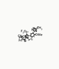 COc1cc2c(cc1-c1nnn(C)n1)-c1c(CC(F)(F)F)cc(C(=O)N3CCC[C@]3(C)C#N)n1CC2